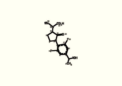 CC(O)c1cc(F)c(N2CCC(N(C(=O)O)C(C)(C)C)C2=O)c(F)c1